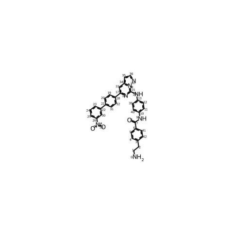 NCCc1ccc(C(=O)Nc2ccc(Nc3nc(-c4ccc(-c5cccc([N+](=O)[O-])c5)cc4)cc4ccnn34)cc2)cc1